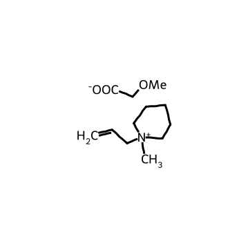 C=CC[N+]1(C)CCCCC1.COCC(=O)[O-]